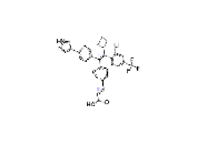 O=C(O)/C=C/c1ccc(/C(=C(\c2ccc(C(F)(F)F)cc2Cl)C2CCC2)c2ccc(-c3cn[nH]c3)cc2)cc1